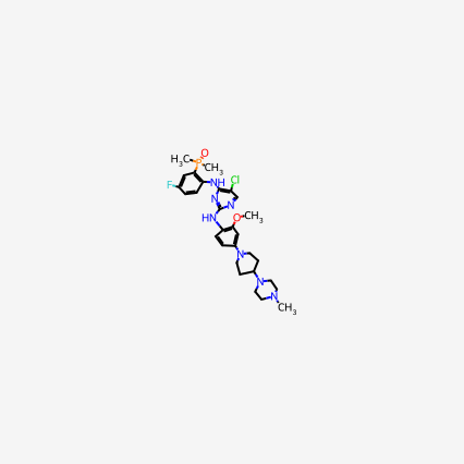 COc1cc(N2CCC(N3CCN(C)CC3)CC2)ccc1Nc1ncc(Cl)c(Nc2ccc(F)cc2P(C)(C)=O)n1